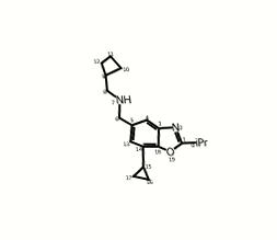 CC(C)c1nc2cc(CNCC3CCC3)cc(C3CC3)c2o1